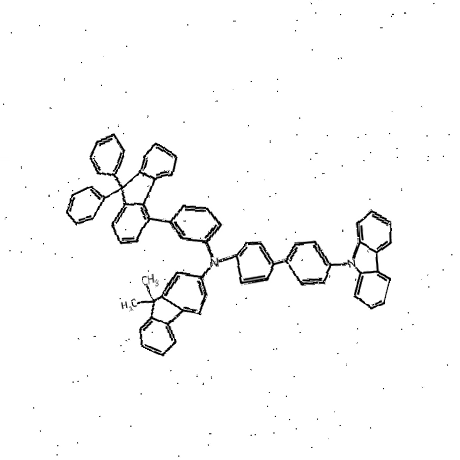 CC1(C)c2ccccc2-c2ccc(N(c3ccc(-c4ccc(-n5c6ccccc6c6ccccc65)cc4)cc3)c3cccc(-c4cccc5c4-c4ccccc4C5(c4ccccc4)c4ccccc4)c3)cc21